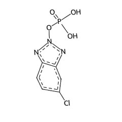 O=P(O)(O)On1nc2ccc(Cl)cc2n1